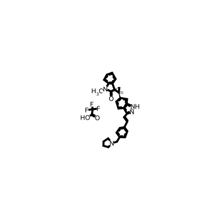 CN1C(=O)[C@@]2(C[C@H]2c2ccc3c(C=Cc4ccc(CN5CCCC5)cc4)n[nH]c3c2)c2ccccc21.O=C(O)C(F)(F)F